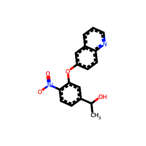 CC(O)c1ccc([N+](=O)[O-])c(Oc2ccc3ncccc3c2)c1